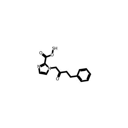 O=C(CCc1ccccc1)Cn1ccnc1C(=O)OS